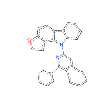 c1ccc(-c2nc(-n3c4ccccc4c4ccc5occc5c43)cc3ccccc23)cc1